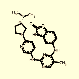 Cc1cnc(Nc2ccc(N3CC[C@H](N(C)C)C3)nc2)nc1Nc1ccc2oc(=O)[nH]c2c1